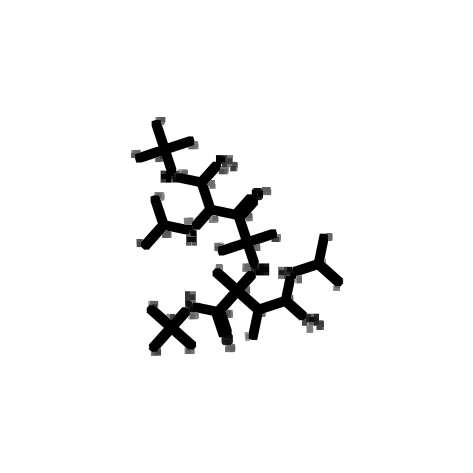 CC(C)NC(P)C(C)C(C)(NC(C)(C)C(=O)C(NC(C)C)C(P)NC(C)(C)C)C(=O)NC(C)(C)C